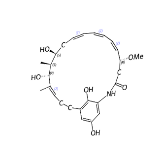 CO[C@H]1\C=C/C=C\C=C/C[C@H](O)[C@H](C)[C@@H](O)/C(C)=C\CCc2cc(O)cc(c2O)NC(=O)C1